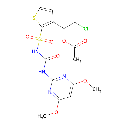 COc1cc(OC)nc(NC(=O)NS(=O)(=O)c2sccc2C(CCl)OC(C)=O)n1